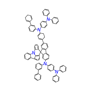 C1=CC(c2cccc(N(C3=CC=C(c4ccc5c(c4)C4(c6cc(N(c7ccc(N(c8ccccc8)c8ccccc8)cc7)c7cccc(-c8ccccc8)c7)ccc6-5)c5ccccc5-n5c6ccccc6c6cccc4c65)CC3)c3ccc(N(c4ccccc4)c4ccccc4)cc3)c2)=CCC1